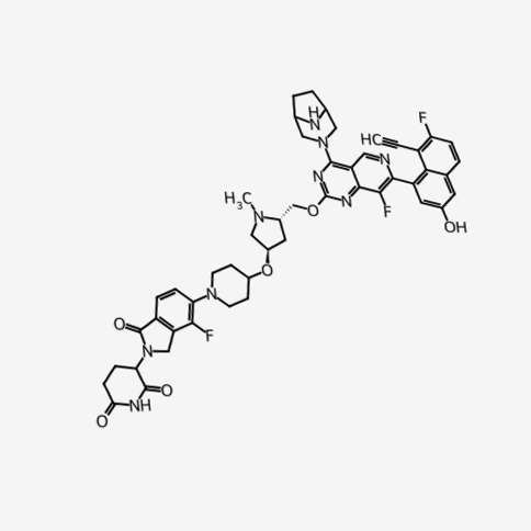 C#Cc1c(F)ccc2cc(O)cc(-c3ncc4c(N5CC6CCC(C5)N6)nc(OC[C@@H]5C[C@@H](OC6CCN(c7ccc8c(c7F)CN(C7CCC(=O)NC7=O)C8=O)CC6)CN5C)nc4c3F)c12